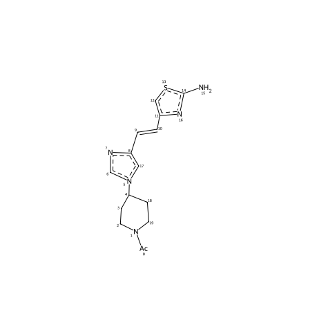 CC(=O)N1CCC(n2cnc(C=Cc3csc(N)n3)c2)CC1